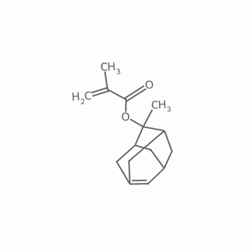 C=C(C)C(=O)OC1(C)C2CC3=CC(C2)CC1C3